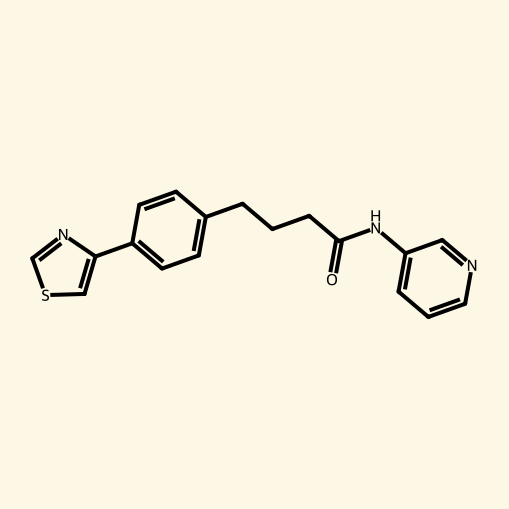 O=C(CCCc1ccc(-c2cscn2)cc1)Nc1cccnc1